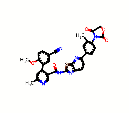 COc1ccc(C#N)cc1-c1cc(C)ncc1C(=O)Nc1nc2ccc(-c3ccc(N4C(=O)COC4=O)c(C)c3)nc2s1